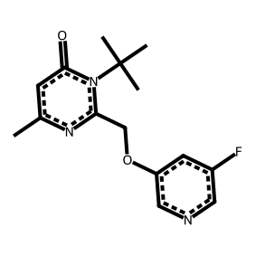 Cc1cc(=O)n(C(C)(C)C)c(COc2cncc(F)c2)n1